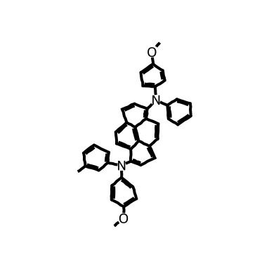 COc1ccc(N(c2ccccc2)c2ccc3ccc4c(N(c5ccc(OC)cc5)c5cccc(C)c5)ccc5ccc2c3c54)cc1